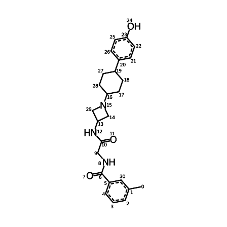 Cc1cccc(C(=O)NCC(=O)NC2CN(C3CCC(c4ccc(O)cc4)CC3)C2)c1